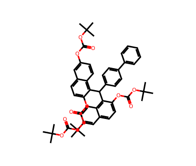 CC(C)(C)OC(=O)Oc1ccc2c(C(c3ccc(-c4ccccc4)cc3)c3c(OC(=O)OC(C)(C)C)ccc4cc(OC(=O)OC(C)(C)C)ccc34)c(OC(=O)OC(C)(C)C)ccc2c1